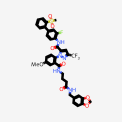 COc1ccc(-n2nc(C(F)(F)F)cc2C(=O)Nc2ccc(-c3ccccc3S(C)(=O)=O)cc2F)c(C(=O)NCCCC(=O)NCc2ccc3c(c2)OCO3)c1